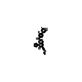 CCOC#Cc1cc2cnc(Nc3ccc(N4C[C@@H](C)N[C@@H](C)C4)c(F)c3)nc2n(C2CCCC2)c1=O